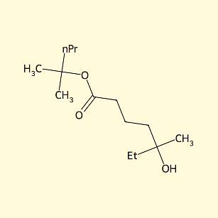 CCCC(C)(C)OC(=O)CCCC(C)(O)CC